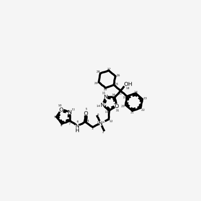 C[N+](C)(CC(=O)Nc1ccon1)Cc1nnc(C(O)(c2ccccc2)C2CCCCC2)o1